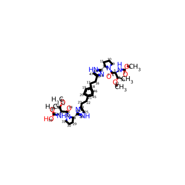 COC(=O)N[C@H](C(=O)N1CCC[C@H]1c1nc(CCc2ccc(CCc3c[nH]c([C@@H]4CCCN4C(=O)[C@@H](NC(=O)O)[C@@H](C)OC)n3)cc2)c[nH]1)[C@@H](C)OC